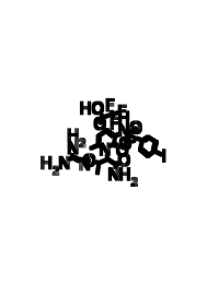 Cc1ccc(NS(=O)(=O)c2ccc(I)cc2)c(=O)n1C(C(N)=O)C(C)ON=C(N)N.O=C(O)C(F)(F)F